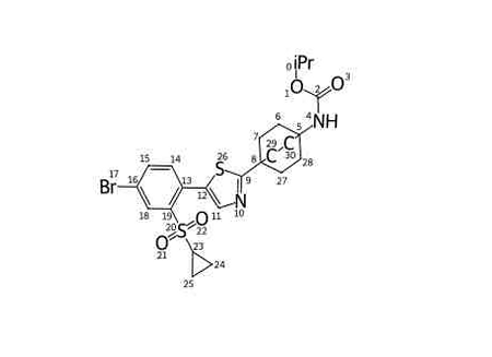 CC(C)OC(=O)NC12CCC(c3ncc(-c4ccc(Br)cc4S(=O)(=O)C4CC4)s3)(CC1)CC2